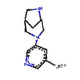 CC(C)COc1cncc(N2CC3CNC(C3)C2)c1